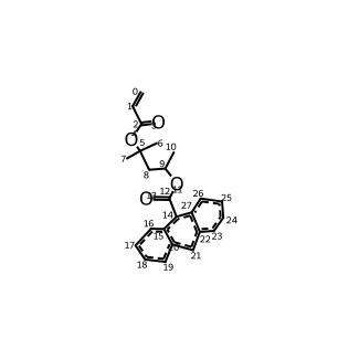 C=CC(=O)OC(C)(C)CC(C)OC(=O)c1c2ccccc2cc2ccccc12